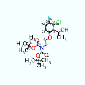 CC(O)c1c(OCCN(C(=O)OC(C)(C)C)C(=O)OC(C)(C)C)ccc(F)c1Cl